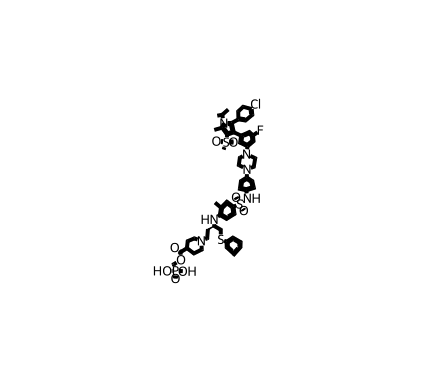 Cc1cc(S(=O)(=O)Nc2ccc(N3CCN(c4cc(F)cc(-c5c(S(C)(=O)=O)c(C)n(C(C)C)c5C5=CC=C(Cl)CC5)c4)CC3)cc2)ccc1N[C@H](CCN1CCC(C(=O)OCP(=O)(O)O)CC1)CSc1ccccc1